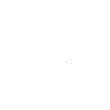 CCCCC[C@H]1CC[C@H](CCCCC2CCC(c3cc(F)cc(F)c3)CC2)CC1